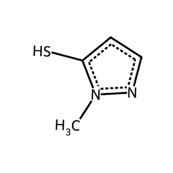 Cn1nccc1S